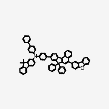 CC1(C)c2ccccc2-c2ccc(N(c3ccc(-c4ccccc4)cc3)c3ccc(-c4ccc5c(c4)C(c4ccccc4)(c4ccccc4)c4cc(-c6ccc7oc8ccccc8c7c6)c6ccccc6c4-5)cc3)cc21